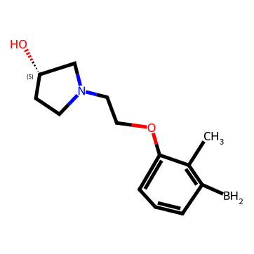 Bc1cccc(OCCN2CC[C@H](O)C2)c1C